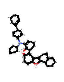 c1ccc(-c2ccc(N(c3ccccc3)c3cccc4c3oc3ccc5oc6c7ccccc7ccc6c5c34)cc2)cc1